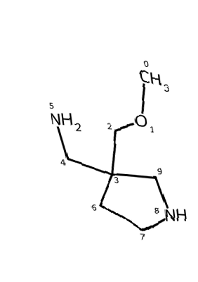 COCC1(CN)CCNC1